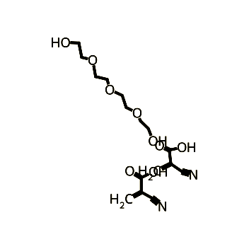 C=C(C#N)C(=O)O.C=C(C#N)C(=O)O.OCCOCCOCCOCCO